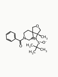 CC(C)(C)[S+]([O-])N[C@@]1(C)COCC12CCN(C(=O)c1ccccc1)CC2